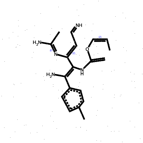 C=C(NC(=C(N)c1ccc(C)cc1)C(=C/C=N)/N=C(\C)N)O/C=C\C